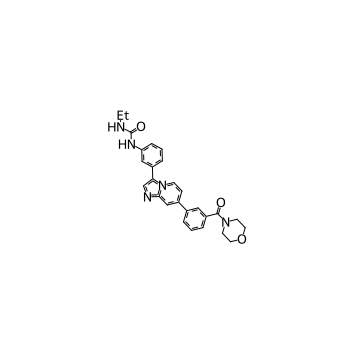 CCNC(=O)Nc1cccc(-c2cnc3cc(-c4cccc(C(=O)N5CCOCC5)c4)ccn23)c1